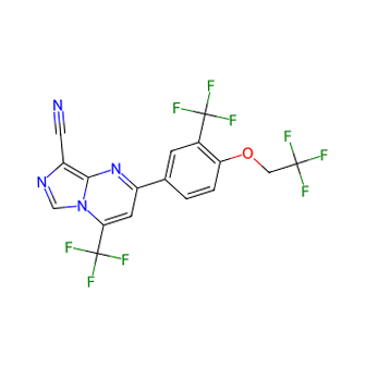 N#Cc1ncn2c(C(F)(F)F)cc(-c3ccc(OCC(F)(F)F)c(C(F)(F)F)c3)nc12